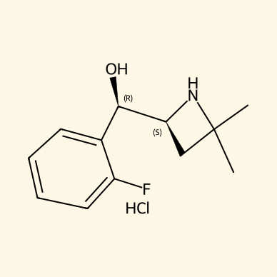 CC1(C)C[C@@H]([C@H](O)c2ccccc2F)N1.Cl